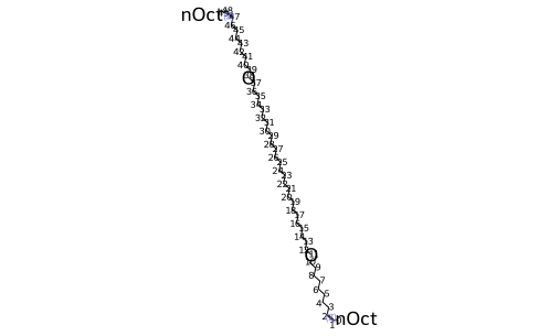 CCCCCCCC/C=C\CCCCCCCCOCCCCCCCCCCCCCCCCCCCCCCCCCCOCCCCCCCC/C=C\CCCCCCCC